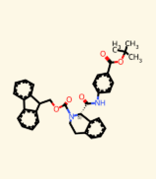 CC(C)(C)OC(=O)c1ccc(NC(=O)[C@@H]2c3ccccc3CCN2C(=O)OCC2c3ccccc3-c3ccccc32)cc1